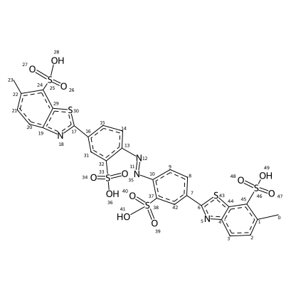 Cc1ccc2nc(-c3ccc(N=Nc4ccc(-c5nc6ccc(C)c(S(=O)(=O)O)c6s5)cc4S(=O)(=O)O)c(S(=O)(=O)O)c3)sc2c1S(=O)(=O)O